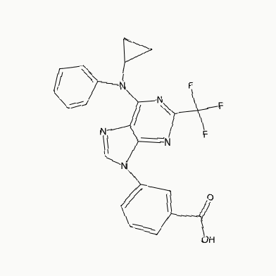 O=C(O)c1cccc(-n2cnc3c(N(c4ccccc4)C4CC4)nc(C(F)(F)F)nc32)c1